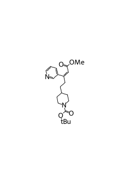 COC(=O)/C=C(/CCC1CCN(C(=O)OC(C)(C)C)CC1)c1cccnc1